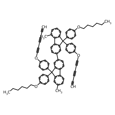 C#CC#CC#COc1ccc(C2(c3ccc(OCCCCCC)cc3)c3cc(C)ccc3-c3ccc(-c4ccc5c(c4)C(c4ccc(OC#CC#CC#C)cc4)(c4ccc(OCCCCCC)cc4)c4cccc(C)c4-5)cc32)cc1